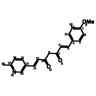 COc1ccc(C=CC(=O)CC(=O)C=Cc2ccc(C)nc2)cn1